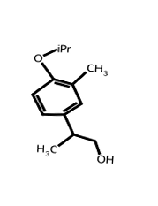 C[C](CO)c1ccc(OC(C)C)c(C)c1